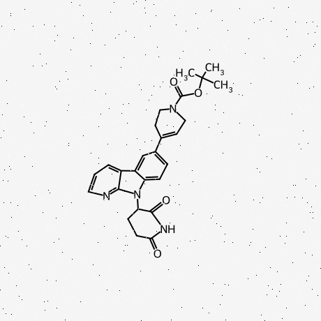 CC(C)(C)OC(=O)N1CC=C(c2ccc3c(c2)c2cccnc2n3C2CCC(=O)NC2=O)CC1